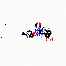 C#Cc1c(F)ccc2cc(O)cc(-c3ncc4c(N5CCCOCC5)nc(OC[C@]56CCC[C@H]5N(CC5CC5)CCC6)nc4c3F)c12